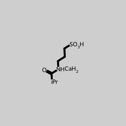 CC(C)C(=O)NCCCS(=O)(=O)O.[CaH2]